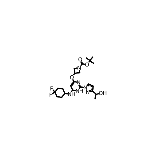 CC(O)c1ccn(C2=NC(OC3CN(C(=O)OC(C)(C)C)C3)=CC(NC3CCC(F)(F)CC3)N2)n1